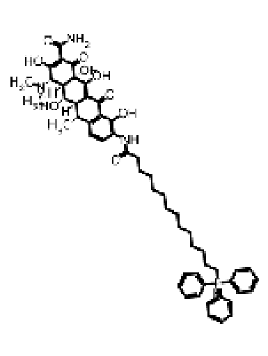 C[C@H]1c2ccc(NC(=O)CCCCCCCCCCCCC[PH](c3ccccc3)(c3ccccc3)c3ccccc3)c(O)c2C(=O)C2=C(O)[C@]3(O)C(=O)C(C(N)=O)=C(O)[C@@H](N(C)C)[C@@H]3[C@@H](O)[C@@H]21